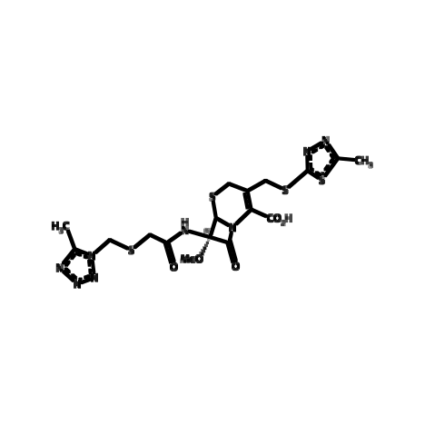 CO[C@@]1(NC(=O)CSCn2nnnc2C)C(=O)N2C(C(=O)O)=C(CSc3nnc(C)s3)CSC21